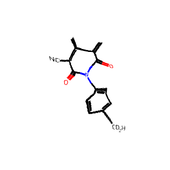 C=C1C(=O)N(c2ccc(C(=O)O)cc2)C(=O)C(C#N)=C1C